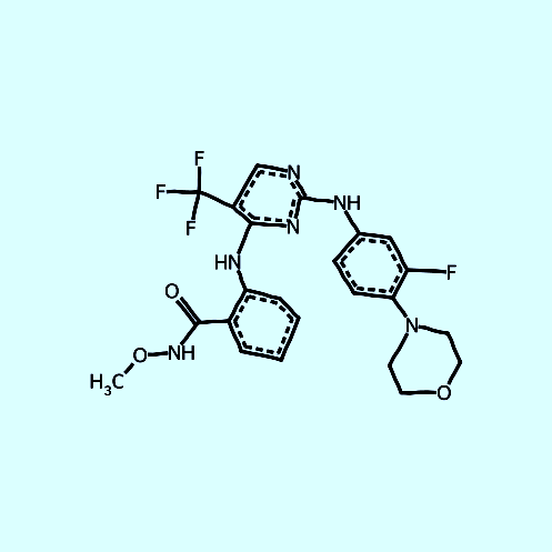 CONC(=O)c1ccccc1Nc1nc(Nc2ccc(N3CCOCC3)c(F)c2)ncc1C(F)(F)F